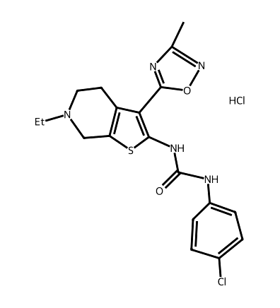 CCN1CCc2c(sc(NC(=O)Nc3ccc(Cl)cc3)c2-c2nc(C)no2)C1.Cl